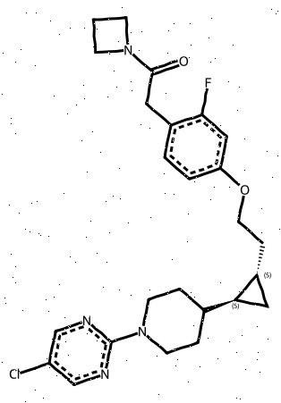 O=C(Cc1ccc(OCC[C@@H]2C[C@H]2C2CCN(c3ncc(Cl)cn3)CC2)cc1F)N1CCC1